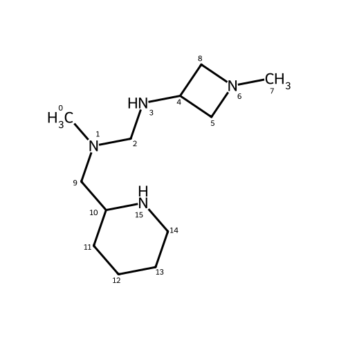 CN(CNC1CN(C)C1)CC1CCCCN1